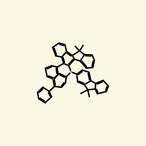 CC1(C)c2ccccc2-c2ccc(N(c3ccc(-c4ccccc4)cc3)c3c4c(c5ccccc5c3-c3ccccc3)C(C)(C)c3ccccc3-4)cc21